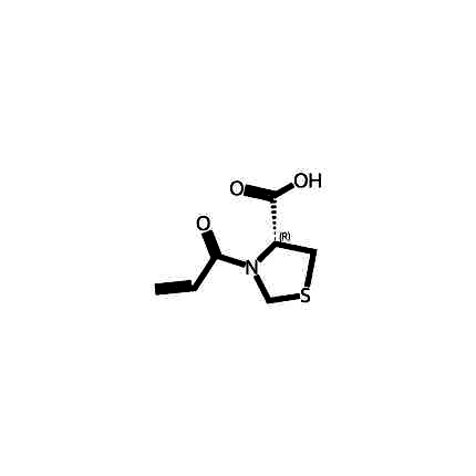 C=CC(=O)N1CSC[C@H]1C(=O)O